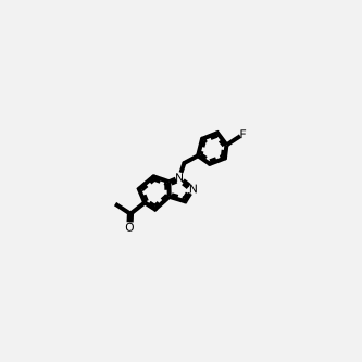 CC(=O)c1ccc2c(cnn2Cc2ccc(F)cc2)c1